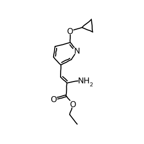 CCOC(=O)/C(N)=C/c1ccc(OC2CC2)nc1